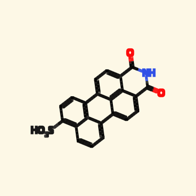 O=C1NC(=O)c2ccc3c4ccc(S(=O)(=O)O)c5cccc(c6ccc1c2c63)c54